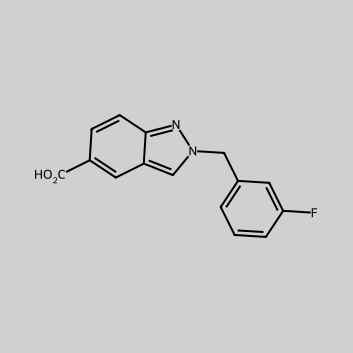 O=C(O)c1ccc2nn(Cc3cccc(F)c3)cc2c1